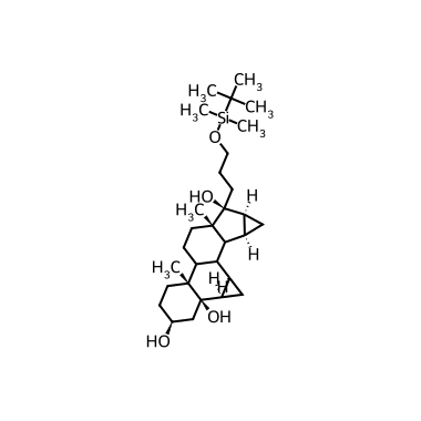 CC(C)(C)[Si](C)(C)OCCC[C@]1(O)[C@H]2C[C@H]2C2C3C(CC[C@@]21C)[C@@]1(C)CC[C@H](O)C[C@@]1(O)[C@@H]1C[C@H]31